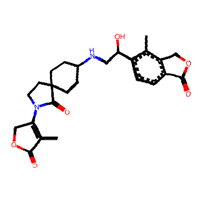 CC1=C(N2CCC3(CCC(NCC(O)c4ccc5c(c4C)COC5=O)CC3)C2=O)COC1=O